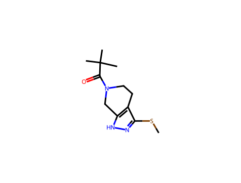 CSc1n[nH]c2c1CCN(C(=O)C(C)(C)C)C2